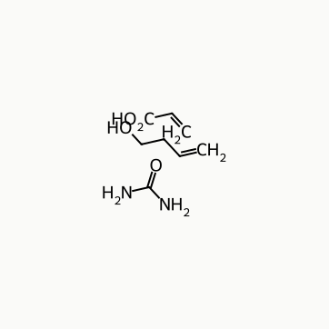 C=CC(=O)O.C=CCCO.NC(N)=O